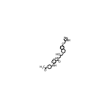 CC(=O)N1CCC(Nc2cc(C(=O)NC[C@H](O)CN3CCc4cc(OCc5cnn[nH]5)ccc4C3)ncn2)CC1